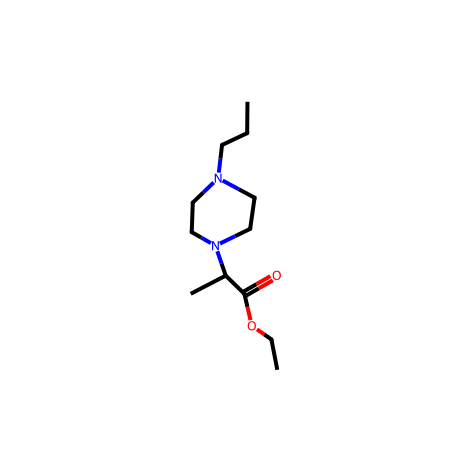 CCCN1CCN(C(C)C(=O)OCC)CC1